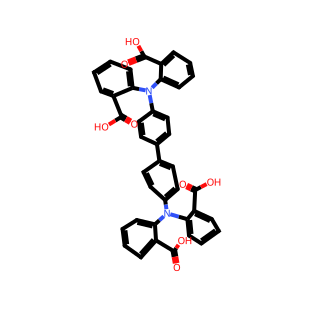 O=C(O)c1ccccc1N(c1ccc(-c2ccc(N(c3ccccc3C(=O)O)c3ccccc3C(=O)O)cc2)cc1)c1ccccc1C(=O)O